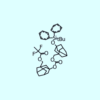 CC(F)(F)C(=O)OCC12CC3CC(C1)CC(OC(=O)OCC14CC5CC(C1)CC(O[Si](c1ccccc1)(c1ccccc1)C(C)(C)C)(C5)C4)(C3)C2